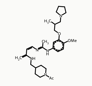 C=C(/C=C\N=C(/C)Nc1ccc(OC)c(OCC(C)CN2CCCC2)c1)NCC1CCN(C(C)=O)CC1